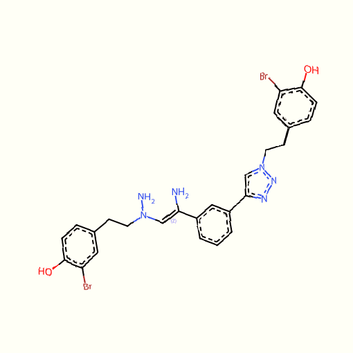 N/C(=C\N(N)CCc1ccc(O)c(Br)c1)c1cccc(-c2cn(CCc3ccc(O)c(Br)c3)nn2)c1